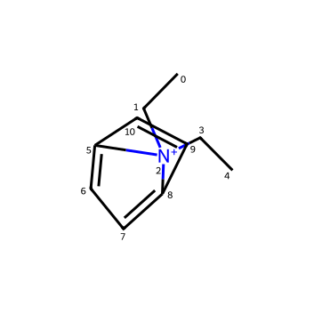 CC[N+]1(CC)C2=CC=C1C=C2